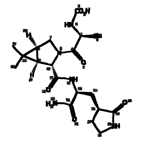 CC(C)(C)[C@H](NC(=O)O)C(=O)N1C[C@H]2[C@@H]([C@H]1C(=O)N[C@@H](C[C@@H]1CCNC1=O)C(N)=O)C2(C)C